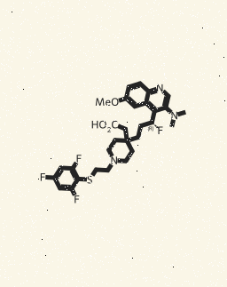 COc1ccc2ncc(N(C)C)c([C@H](F)CCC3(CC(=O)O)CCN(CCSc4c(F)cc(F)cc4F)CC3)c2c1